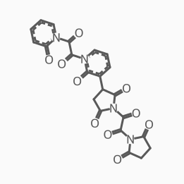 O=C1CCC(=O)N1C(=O)C(=O)N1C(=O)CC(c2cccn(C(=O)C(=O)n3ccccc3=O)c2=O)C1=O